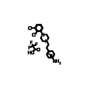 NC12CCC(CCN3CCN(c4cccc(Cl)c4Cl)CC3)(CC1)CC2.O=C(O)C(F)(F)F